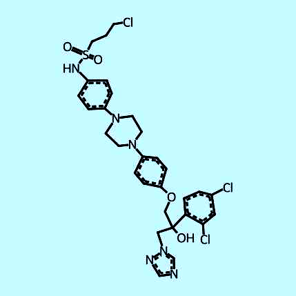 O=S(=O)(CCCCl)Nc1ccc(N2CCN(c3ccc(OCC(O)(Cn4cncn4)c4ccc(Cl)cc4Cl)cc3)CC2)cc1